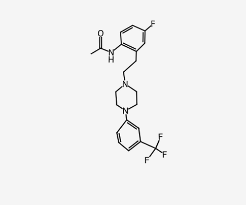 CC(=O)Nc1ccc(F)cc1CCN1CCN(c2cccc(C(F)(F)F)c2)CC1